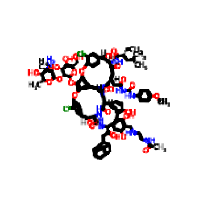 CC[C@H](CC(C)C)C(=O)N[C@H]1C(=O)C[C@@H](CC(=O)NC(=O)Nc2ccc(OC)cc2)C(=O)N[C@H]2C(=O)C[C@H]3C(=O)N[C@H](C(=O)N[C@H](C(=O)CC4C5CC6CC(C5)CC4C6)c4cc(O)c(CNCCNC(C)=O)c(O)c4-c4cc3ccc4O)[C@H](O)c3ccc(c(Cl)c3)Oc3cc2cc(c3O[C@@H]2O[C@H](CO)[C@@H](O)[C@H](O)[C@H]2O[C@H]2C[C@](C)(N)[C@H](O)[C@H](C)O2)Oc2ccc(cc2Cl)[C@H]1O